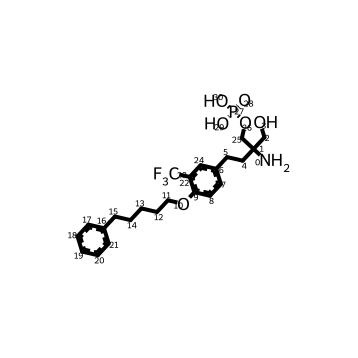 NC(CO)(CCc1ccc(OCCCCCc2ccccc2)c(C(F)(F)F)c1)COP(=O)(O)O